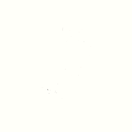 C[C@@H]1CCCN1CCc1ccc(-c2cccc(S(C)(=O)=O)c2)cc1